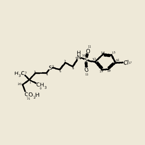 CC(C)(CCSCCCNS(=O)(=O)c1ccc(Cl)cc1)CC(=O)O